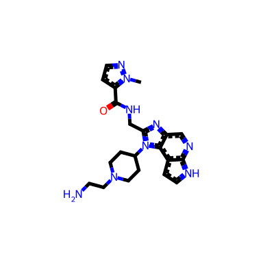 Cn1nccc1C(=O)NCc1nc2cnc3[nH]ccc3c2n1C1CCN(CCN)CC1